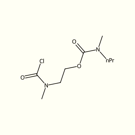 CCCN(C)C(=O)OCCN(C)C(=O)Cl